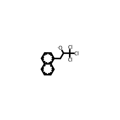 [O]C(Cc1cccc2ccccc12)C(Cl)(Cl)Cl